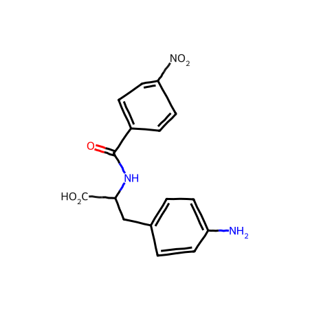 Nc1ccc(CC(NC(=O)c2ccc([N+](=O)[O-])cc2)C(=O)O)cc1